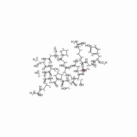 C[C@H](NC(=O)[C@@H](NC(=O)CNC(=O)[C@@H]1CCCN1C(=O)CNC(=O)CN)[C@@H](C)O)C(=O)N[C@@H](CO)C(=O)N[C@@H](CCCNC(=N)N)C(=O)N1CCC[C@H]1C(=O)N[C@@H](CO)C(=O)N[C@@H](CO)C(=O)N[C@@H](CO)C(=O)N[C@@H](CCCNC(=N)N)C(=O)N[C@@H](CO)C(=O)N[C@@H](Cc1ccc(O)cc1)C(=O)O